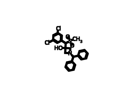 CS(=O)(=O)C(c1cc(Cl)cc(Cl)c1)C1(O)CN(C(c2ccccc2)c2ccccc2)C1